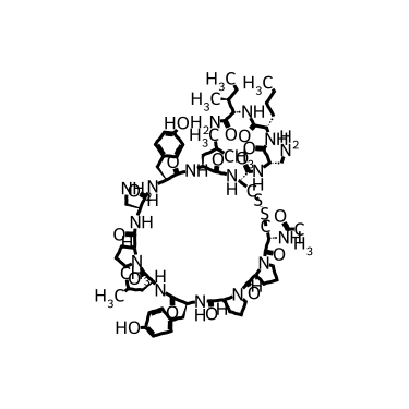 CCCC[C@H](NC(=O)[C@H](CN)NC(=O)[C@@H]1CSSC[C@H](NC(C)=O)C(=O)N2CCC[C@H]2C(=O)N2CCC[C@H]2C(=O)N[C@@H](Cc2ccc(O)cc2)C(=O)N[C@@H](CC(C)C)C(=O)N2CCC[C@H]2C(=O)N[C@@H](CN)C(=O)N[C@@H](Cc2ccc(O)cc2)C(=O)N[C@@H](CC(C)C)C(=O)N1)C(=O)N[C@H](C(N)=O)[C@@H](C)CC